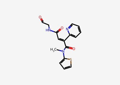 CN(C(=O)C(=CC(=O)NC[C]=O)c1ccccn1)c1cccs1